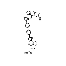 CNC(=O)C[C@H](C(=O)N1CCC[C@@H]1c1ncc(-c2ccc(-c3ccc(-c4cnc([C@@H]5CCCN5C(=O)[C@@H](CC(=O)NC)C(C)C)[nH]4)cc3)cc2)[nH]1)C(C)C